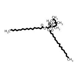 CCCCCCCCCCCCCCCCCC(=O)OCC(OC(=O)CCCCCCCCCCCCCCCCC)C(=O)NC(C)(C)CC(C)(C)CC(C)C